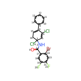 O=C(NC1(Cl)C=C(Cl)C(c2ccccc2)=CC1)c1cc(F)c(F)cc1Br